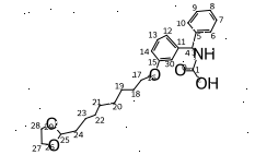 O=C(O)NC(c1ccccc1)c1cccc(OCCCCCCCCC2OCCO2)c1